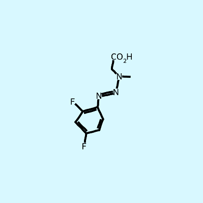 CN(CC(=O)O)/N=N/c1ccc(F)cc1F